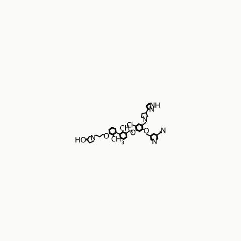 Cc1c(COc2cc(OCc3cncc(C#N)c3)c(CN3CCC(c4cc[nH]n4)C3)cc2Cl)cccc1-c1cccc(OCCCN2CC[C@@H](O)C2)c1C